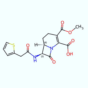 COC(=O)C1=C(C(=O)O)N2C(=O)[C@@H](NC(=O)Cc3cccs3)[C@H]2CC1